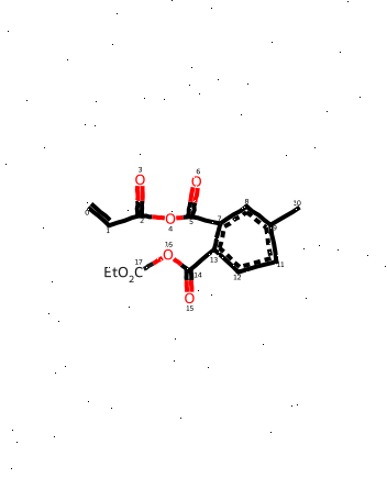 C=CC(=O)OC(=O)c1cc(C)ccc1C(=O)OC(=O)OCC